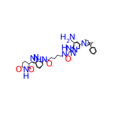 Cn1nc(C2CCC(=O)NC2=O)c2cccc(NC(=O)CCCCNC(=O)c3nc4c(CN)cc(N5CC[C@](C)(c6ccccc6)C5)cn4n3)c21